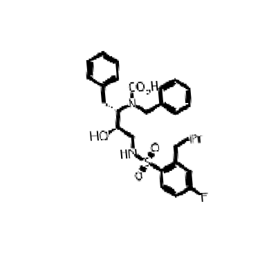 CC(C)Cc1cc(F)ccc1S(=O)(=O)NC[C@@H](O)[C@H](Cc1ccccc1)N(Cc1ccccc1)C(=O)O